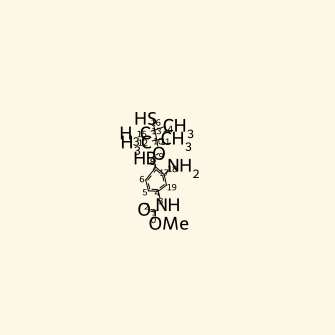 COC(=O)Nc1ccc(BOC(C)(C)C(C)(C)S)c(N)c1